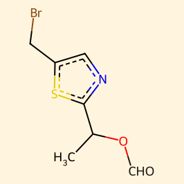 CC(OC=O)c1ncc(CBr)s1